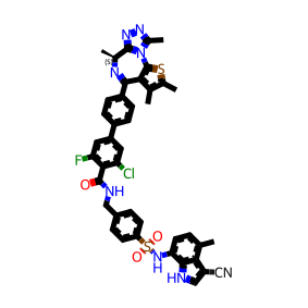 Cc1sc2c(c1C)C(c1ccc(-c3cc(F)c(C(=O)NCc4ccc(S(=O)(=O)Nc5ccc(C)c6c(C#N)c[nH]c56)cc4)c(Cl)c3)cc1)=N[C@@H](C)c1nnc(C)n1-2